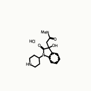 CNC(=O)CC1(O)C(=O)N(C2CCNCC2)c2ccccc21.Cl